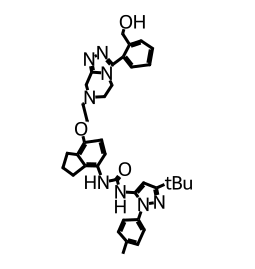 Cc1ccc(-n2nc(C(C)(C)C)cc2NC(=O)Nc2ccc(OCCN3CCn4c(nnc4-c4ccccc4CO)C3)c3c2CCC3)cc1